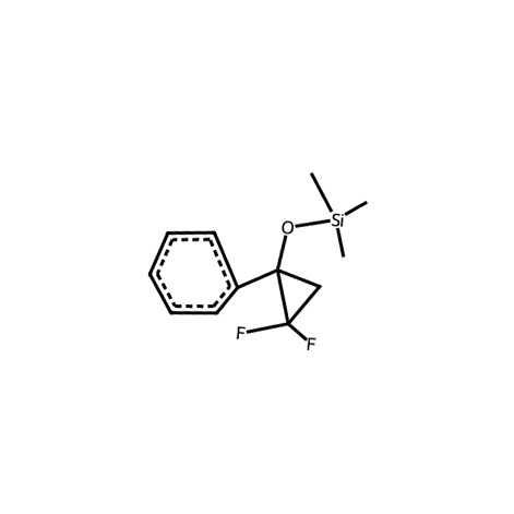 C[Si](C)(C)OC1(c2ccccc2)CC1(F)F